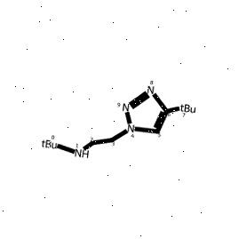 CC(C)(C)NCCn1cc(C(C)(C)C)nn1